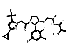 C=C(N)C(=O)N[C@H](C)CO[C@@H]1CCN(C(=O)Cn2nc(C3CC3)cc2C(F)(F)F)[C@@H]1c1cc(F)cc(C)c1Cl